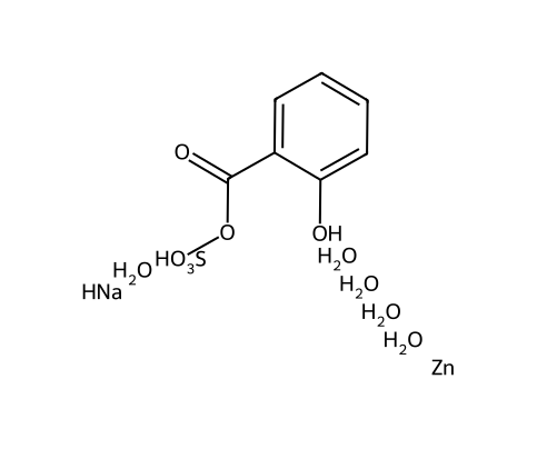 O.O.O.O.O.O=C(OS(=O)(=O)O)c1ccccc1O.[NaH].[Zn]